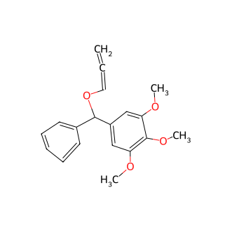 C=C=COC(c1ccccc1)c1cc(OC)c(OC)c(OC)c1